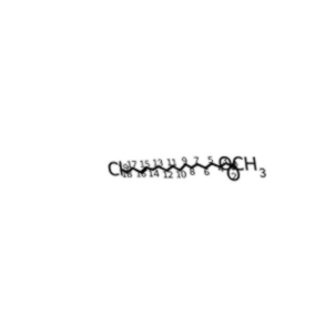 CC(=O)OCCCCCCCCCCCC=CCCCl